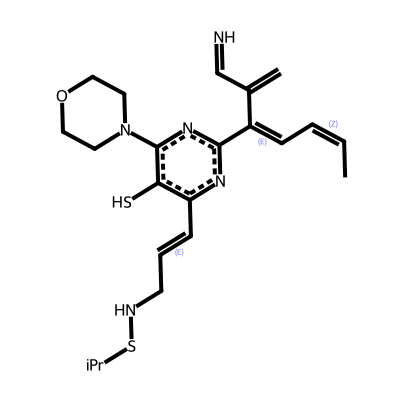 C=C(C=N)/C(=C\C=C/C)c1nc(/C=C/CNSC(C)C)c(S)c(N2CCOCC2)n1